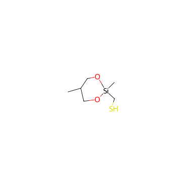 CC1CO[Si](C)(CS)OC1